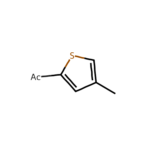 CC(=O)c1cc(C)cs1